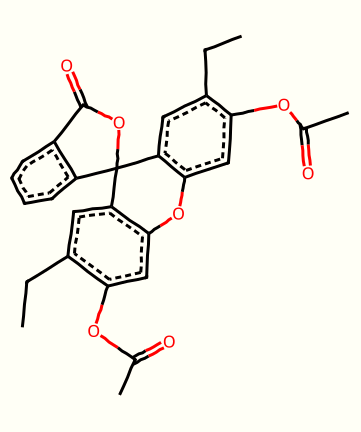 CCc1cc2c(cc1OC(C)=O)Oc1cc(OC(C)=O)c(CC)cc1C21OC(=O)c2ccccc21